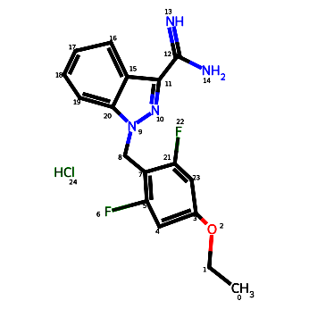 CCOc1cc(F)c(Cn2nc(C(=N)N)c3ccccc32)c(F)c1.Cl